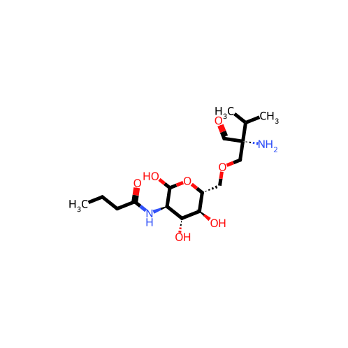 CCCC(=O)N[C@H]1C(O)O[C@H](COC[C@@](N)(C=O)C(C)C)[C@@H](O)[C@@H]1O